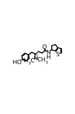 CN(C)[C@H](CCC(=O)NC1CCc2ccsc21)Cc1ccc(O)cc1